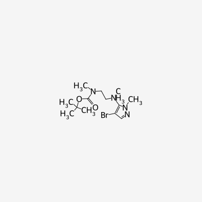 CN(CCN(C)c1c(Br)cnn1C)C(=O)OC(C)(C)C